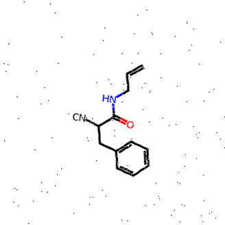 [C-]#[N+]C(Cc1ccccc1)C(=O)NCC=C